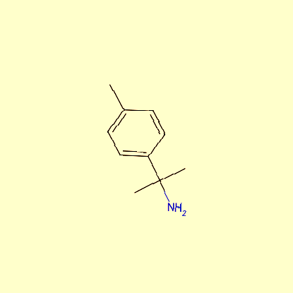 Cc1ccc(C(C)(C)N)cc1